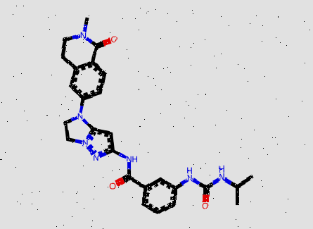 CC(C)NC(=O)Nc1cccc(C(=O)Nc2cc3n(n2)CCN3c2ccc3c(c2)CCN(C)C3=O)c1